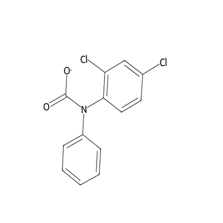 [O]C(=O)N(c1ccccc1)c1ccc(Cl)cc1Cl